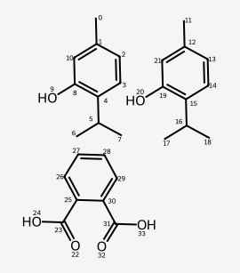 Cc1ccc(C(C)C)c(O)c1.Cc1ccc(C(C)C)c(O)c1.O=C(O)c1ccccc1C(=O)O